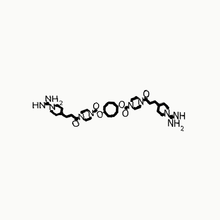 N=C(N)N1CCC(CCC(=O)N2CCN(C(=O)O[C@H]3CCC[C@@H](OC(=O)N4CCN(C(=O)CCC5CCN(C(=N)N)CC5)CC4)CCC3)CC2)CC1